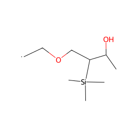 [CH2]COCC(C(C)O)[Si](C)(C)C